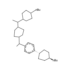 CCCCC1CCC(C(C)C2CCC(C(C)c3ccc([C@H]4CC[C@H](CCCC)CC4)cc3)CC2)CC1